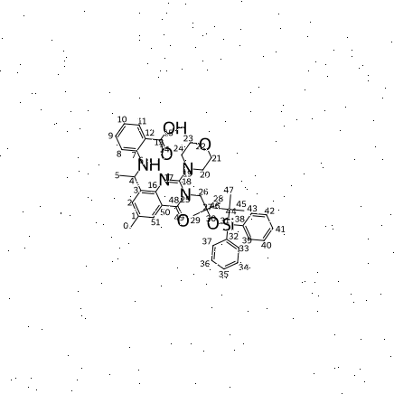 Cc1cc(C(C)Nc2ccccc2C(=O)O)c2nc(N3CCOCC3)n(CC(C)(C)O[Si](c3ccccc3)(c3ccccc3)C(C)(C)C)c(=O)c2c1